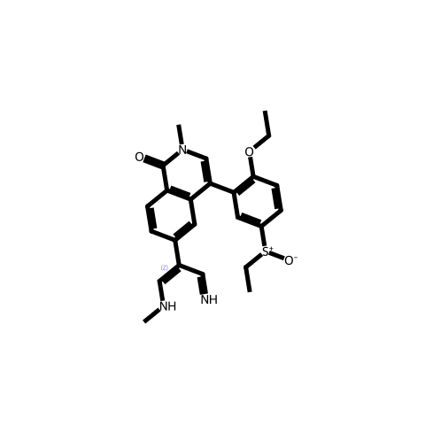 CCOc1ccc([S+]([O-])CC)cc1-c1cn(C)c(=O)c2ccc(/C(C=N)=C/NC)cc12